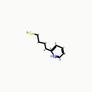 [S]CCCCc1ccccn1